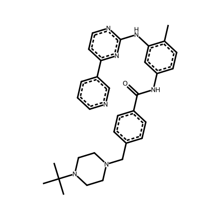 Cc1ccc(NC(=O)c2ccc(CN3CCN(C(C)(C)C)CC3)cc2)cc1Nc1nccc(-c2cccnc2)n1